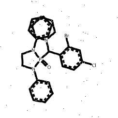 O=P1(C(c2ccc(Cl)cc2Br)N2CCSCC2)N(c2ccccc2)CCN1c1ccccc1